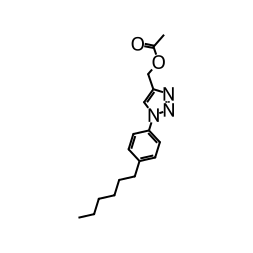 CCCCCCc1ccc(-n2cc(COC(C)=O)nn2)cc1